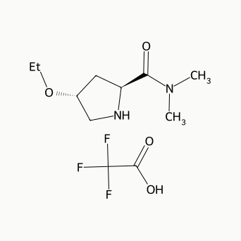 CCO[C@H]1CN[C@H](C(=O)N(C)C)C1.O=C(O)C(F)(F)F